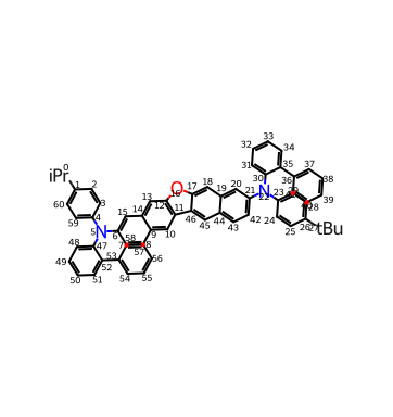 CC(C)c1ccc(N(c2ccc3cc4c(cc3c2)oc2cc3cc(N(c5ccc(C(C)(C)C)cc5)c5ccccc5-c5ccccc5)ccc3cc24)c2ccccc2-c2ccccc2)cc1